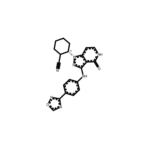 N#CC1CCCC[C@@H]1n1nc(Nc2ccc(-c3ncon3)cc2)c2c(=O)[nH]ccc21